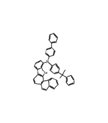 CC(C)(c1ccccc1)c1ccc(N(c2ccc(-c3ccccc3)cc2)c2cccc3c2[se]c2c3ccc3ccc4ccccc4c32)cc1